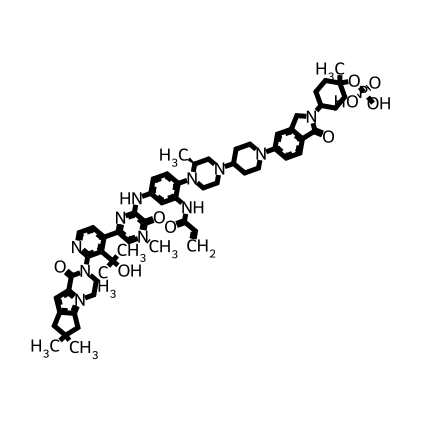 C=CC(=O)Nc1cc(Nc2nc(-c3ccnc(N4CCn5c(cc6c5CC(C)(C)C6)C4=O)c3C(C)(C)O)cn(C)c2=O)ccc1N1CCN(C2CCN(c3ccc4c(c3)CN(C3CCC(C)(OP(=O)(O)O)CC3)C4=O)CC2)C[C@@H]1C